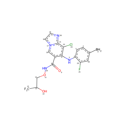 Bc1ccc(Nc2c(C(=O)NOCC(O)C(F)(F)F)cn3ccnc3c2Cl)c(F)c1